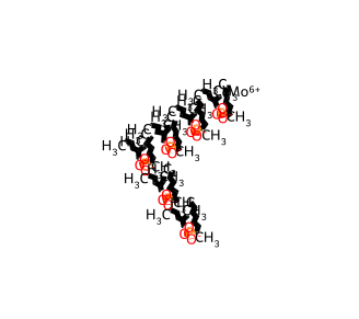 CCCCCCC(C)P(=O)([O-])OCC(CC)CCCC.CCCCCCC(C)P(=O)([O-])OCC(CC)CCCC.CCCCCCC(C)P(=O)([O-])OCC(CC)CCCC.CCCCCCC(C)P(=O)([O-])OCC(CC)CCCC.CCCCCCC(C)P(=O)([O-])OCC(CC)CCCC.CCCCCCC(C)P(=O)([O-])OCC(CC)CCCC.[Mo+6]